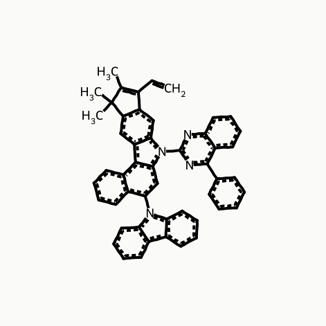 C=CC1=C(C)C(C)(C)c2cc3c4c5ccccc5c(-n5c6ccccc6c6ccccc65)cc4n(-c4nc(-c5ccccc5)c5ccccc5n4)c3cc21